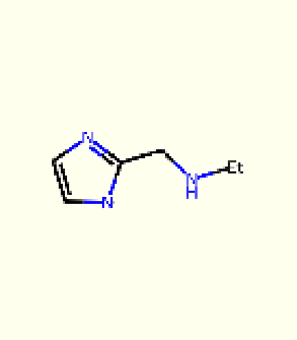 CCNCC1=NC=C[N]1